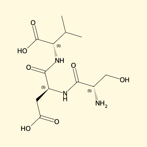 CC(C)[C@H](NC(=O)[C@H](CC(=O)O)NC(=O)[C@@H](N)CO)C(=O)O